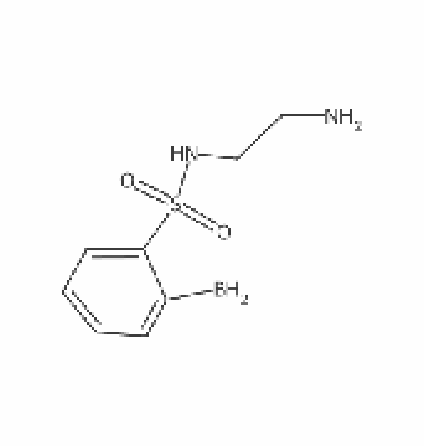 Bc1ccccc1S(=O)(=O)NCCN